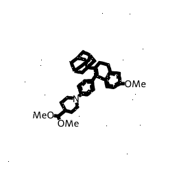 COc1ccc2c(c1)CCC(C13CC4CC(CC(C4)C1)C3)=C2c1ccc(N2CCC(C(OC)OC)CC2)cc1